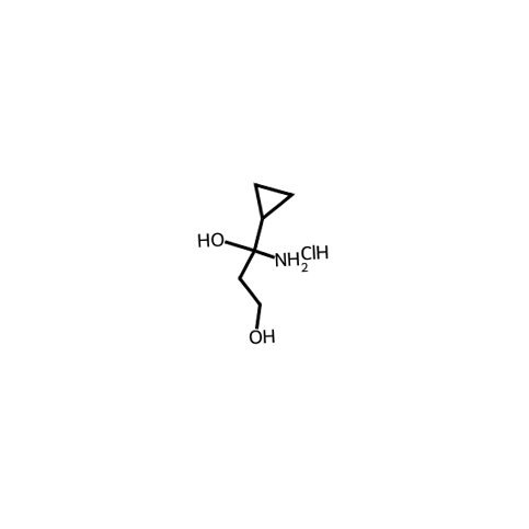 Cl.NC(O)(CCO)C1CC1